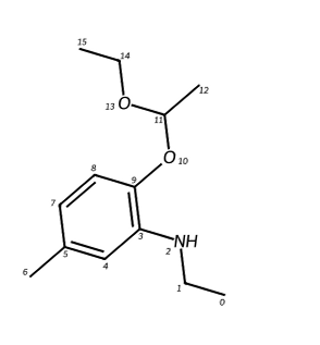 CCNc1cc(C)ccc1OC(C)OCC